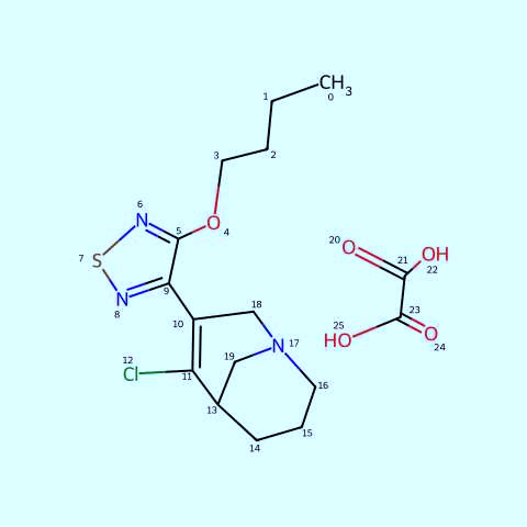 CCCCOc1nsnc1C1=C(Cl)C2CCCN(C1)C2.O=C(O)C(=O)O